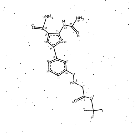 CC(C)(C)OC(=O)CNCc1cccc(-c2cc(C(N)=O)c(NC(N)=O)s2)c1